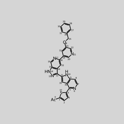 CC(=O)c1ccc(-c2nccc3[nH]c(-c4n[nH]c5cnc(-c6cncc(OCc7ccccc7)c6)cc45)cc23)s1